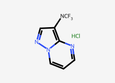 Cl.FC(F)(F)Nc1cnn2cccnc12